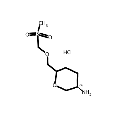 CS(=O)(=O)COCC1CC[C@H](N)CO1.Cl